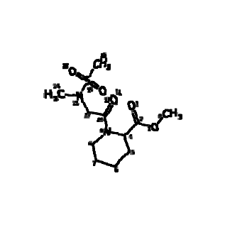 COC(=O)C1CCCCN1C(=O)CN(C)S(C)(=O)=O